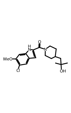 COc1cc2[nH]c(C(=O)N3CCC(CC(C)(C)O)CC3)cc2cc1Cl